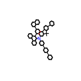 CC1(C)c2cc(-c3ccccc3)ccc2-c2ccc(N(c3ccc(-c4ccc(-c5ccccc5)cc4)cc3)c3c(-c4cccc(-c5cccc6ccccc56)c4)c4ccccc4c4ccccc34)cc21